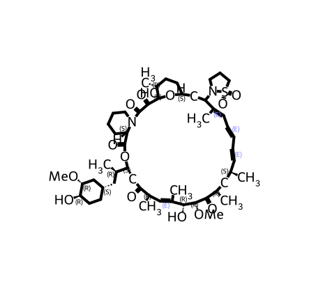 CO[C@@H]1C[C@H](C[C@@H](C)[C@@H]2CC(=O)[C@H](C)/C=C(\C)[C@@H](O)[C@@H](OC)C(=O)[C@H](C)C[C@H](C)/C=C/C=C/C=C(\C)C(N3CCCS3(=O)=O)C[C@@H]3CC[C@@H](C)[C@@](O)(O3)C(=O)C(=O)N3CCCC[C@H]3C(=O)O2)CC[C@H]1O